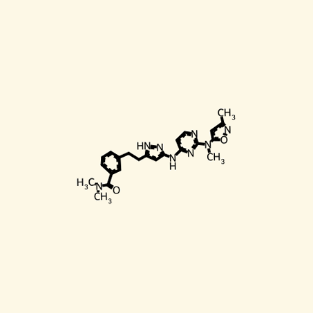 Cc1cc(N(C)c2nccc(Nc3cc(CCc4cccc(C(=O)N(C)C)c4)[nH]n3)n2)on1